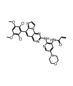 C=CC(=O)Nc1cc(N2CCOCC2)cnc1Nc1ncc2cc(-c3c(Cl)c(OC)cc(OC)c3Cl)c3nccn3c2n1